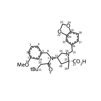 COc1cccc(CN(C(=O)CC(C)(C)C)[C@H]2CN(Cc3ccc4c(c3)OCO4)[C@](C)(C(=O)O)C2)c1